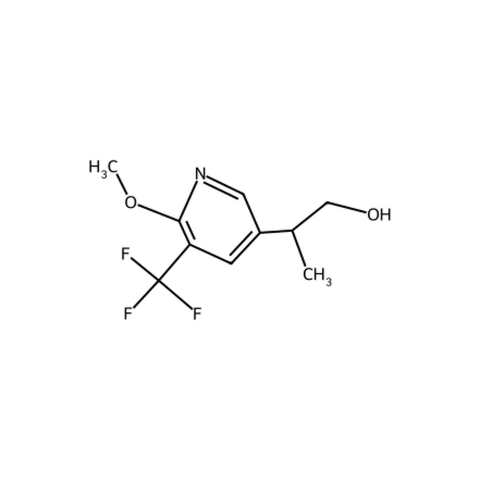 COc1ncc(C(C)CO)cc1C(F)(F)F